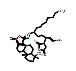 CCCC/C=C/C(CCC(CCCCCCCC(=O)O)OOCC1C(C(C)C)C2CC3C4(C)CCCC(C)(C(=O)O)C4CCC13C1C(=O)OC(=O)C21)C1CC(=O)OC1=O